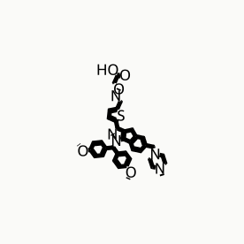 COc1ccc(C(c2ccc(OC)cc2)n2nc(-c3ccc(/C=N/OCC(=O)O)s3)c3c2-c2ccc(CN4CCN(C)CC4)cc2C3)cc1